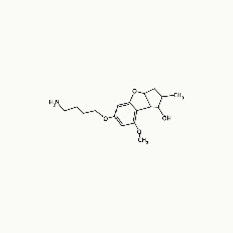 COc1cc(OCCCCN)cc2c1C1C(CC(C)C1O)O2